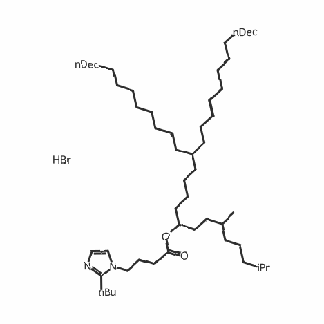 Br.CCCCCCCCCCCCCCCCCCC(CCCCCCCCCCCCCCCCCC)CCCCC(CCC(C)CCCC(C)C)OC(=O)CCCn1ccnc1CCCC